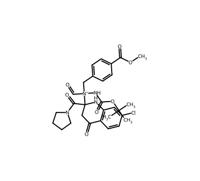 COC(=O)c1ccc(C[N+](C=O)(NC(=O)OC(C)(C)C)C2(C(=O)N3CCCC3)CC(=O)c3ccc(Cl)cc3N2)cc1